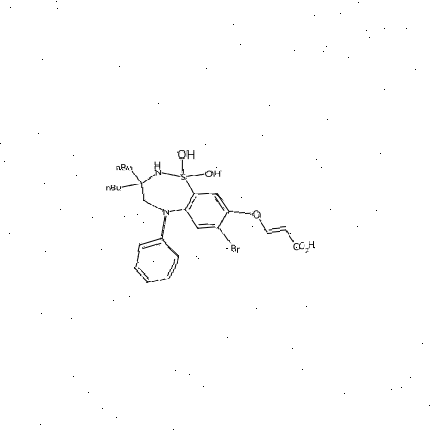 CCCCC1(CCCC)CN(c2ccccc2)c2cc(Br)c(O/C=C/C(=O)O)cc2S(O)(O)N1